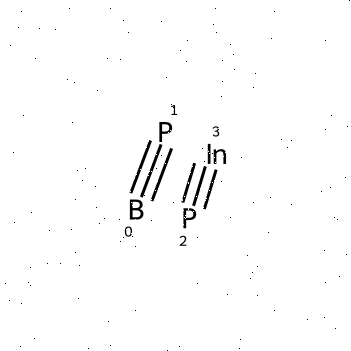 B#P.[P]#[In]